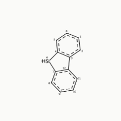 c1ccc2c(c1)[SiH]c1ccccc1-2